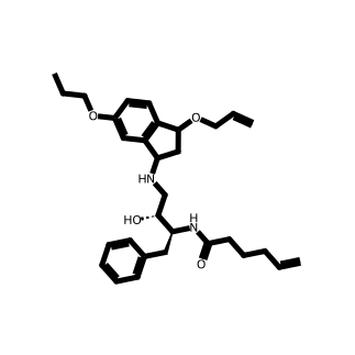 C=CCCCC(=O)N[C@@H](Cc1ccccc1)[C@H](O)CNC1CC(OCC=C)c2ccc(OCCC)cc21